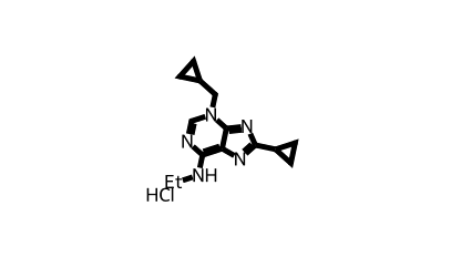 CCNc1ncn(CC2CC2)c2nc(C3CC3)nc1-2.Cl